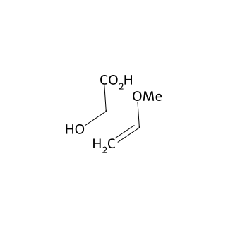 C=COC.O=C(O)CO